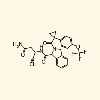 C#CC(CC(N)=O)NC(=O)C1c2ccccc2CN1C(=O)C1(c2ccc(OC(F)(F)F)cc2)CC1